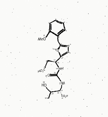 COc1ccccc1-c1nnc([C@H](CC(=O)O)NC(=O)N[C@H](C(=O)O)C(C)O)o1